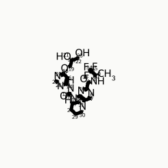 C[C@@H](NC(=O)c1ncc2c(n1)N(C(=O)Nc1cc(OC[C@@H](O)CO)ncn1)[C@H]1CCCN2C1)C(F)(F)F